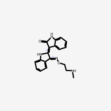 CNCCO/N=C1/C(=C2/C(=O)Nc3ccccc32)Nc2ccccc21